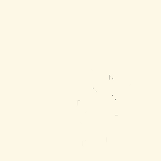 Fc1c(F)c(F)c(-c2nc(-c3ccccc3)nc(-c3ccc4cc(-c5ccccc5-c5ccc6ccccc6c5)ccc4c3)n2)c(F)c1F